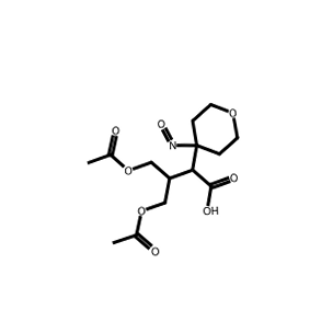 CC(=O)OCC(COC(C)=O)C(C(=O)O)C1(N=O)CCOCC1